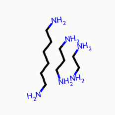 NCCCCCCN.NCCCN.NCCN